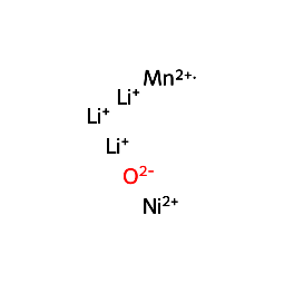 [Li+].[Li+].[Li+].[Mn+2].[Ni+2].[O-2]